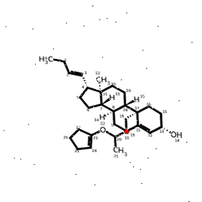 CCC=C[C@H]1CC[C@H]2[C@@H]3CCC4=C[C@@H](O)CC[C@]4(COC(C)OC4=CCCC4)[C@H]3CC[C@]12C